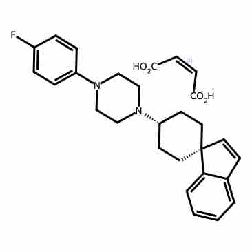 Fc1ccc(N2CCN([C@H]3CC[C@@]4(C=Cc5ccccc54)CC3)CC2)cc1.O=C(O)/C=C\C(=O)O